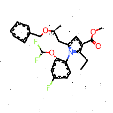 CCc1c(C(=O)OC)cc(C[C@H](C)OCc2ccccc2)n1-c1ccc(F)cc1OC(F)F